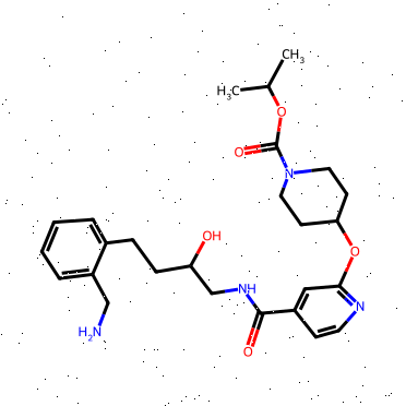 CC(C)OC(=O)N1CCC(Oc2cc(C(=O)NCC(O)CCc3ccccc3CN)ccn2)CC1